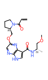 C=CC(=O)N1CCC[C@@H]1COc1cnc2[nH]cc(C(=O)N[C@@H](C)COC)c2n1